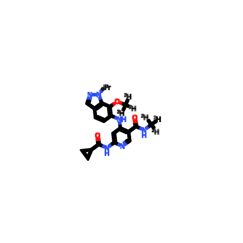 [2H]C([2H])([2H])NC(=O)c1cnc(NC(=O)C2CC2)cc1Nc1ccc2cnn(C(C)C)c2c1OC([2H])([2H])[2H]